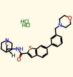 Cl.Cl.O=C(N[C@H]1CN2CCC1CC2)c1cc2ccc(-c3cccc(CN4CCOCC4)c3)cc2s1